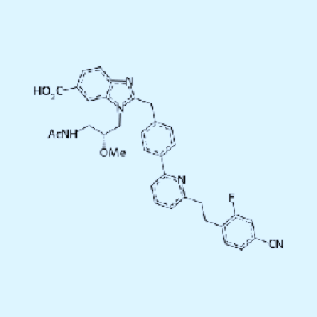 CO[C@H](CNC(C)=O)Cn1c(Cc2ccc(-c3cccc(CCc4ccc(C#N)cc4F)n3)cc2)nc2ccc(C(=O)O)cc21